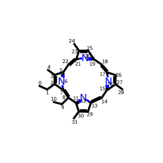 CCC1=C(C)C2=NC1=C(CC)C1=NC(=CC3=NC(=CC4=NC(=C2)C(C)=C4)C=C3C)C=C1C